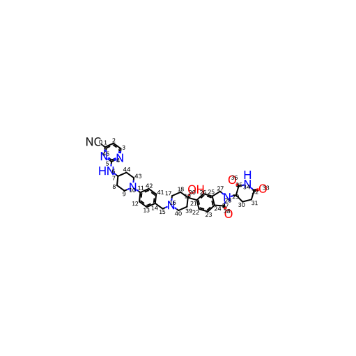 N#Cc1ccnc(NC2CCN(c3ccc(CN4CCC(O)(c5ccc6c(c5)CN(C5CCC(=O)NC5=O)C6=O)CC4)cc3)CC2)n1